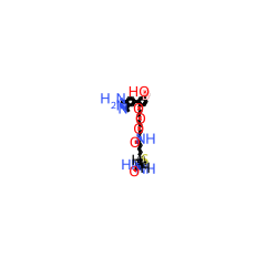 CB(O)c1ccc(OCCOCCOCCNC(=O)CCCC[C@@H]2SC[C@@H]3NC(=O)N[C@@H]32)c(-c2ccc3c(N)nnc(C)c3c2)c1